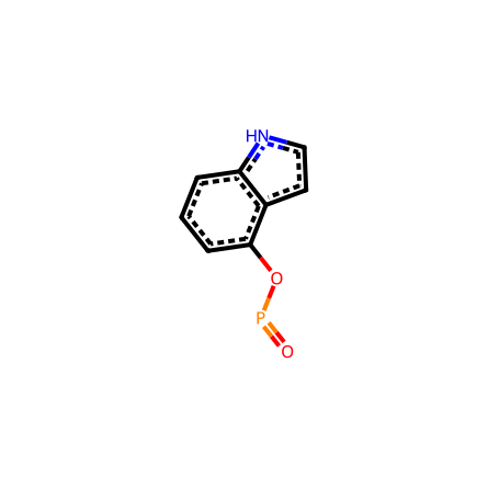 O=POc1cccc2[nH]ccc12